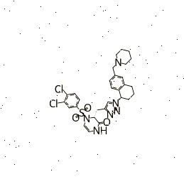 O=C1NC=CN(S(=O)(=O)c2ccc(Cl)c(Cl)c2)[C@@H]1Cc1cn([C@@H]2CCCc3cc(CN4CCCCC4)ccc32)nn1